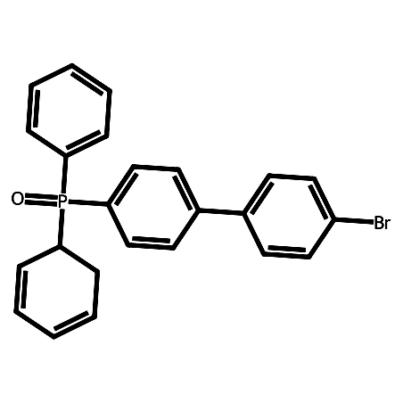 O=P(c1ccccc1)(c1ccc(-c2ccc(Br)cc2)cc1)C1C=CC=CC1